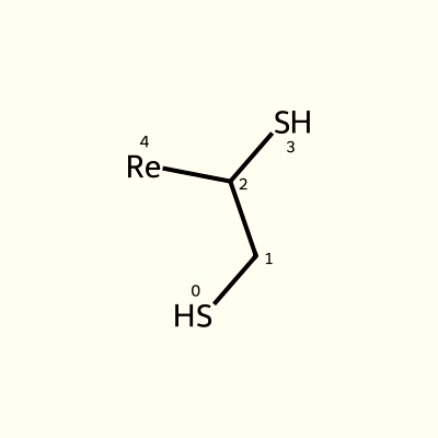 SC[CH](S)[Re]